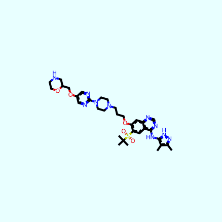 Cc1n[nH]c(Nc2ncnc3cc(OCCCN4CCN(c5ncc(OCC6CNCCO6)cn5)CC4)c(S(=O)(=O)C(C)(C)C)cc23)c1C